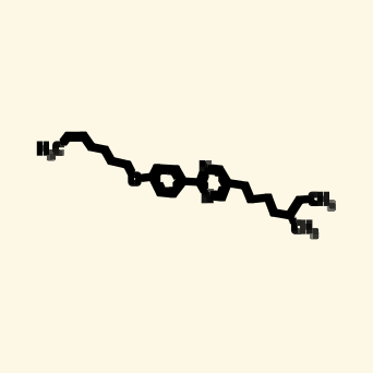 C/C=C\CCCCOc1ccc(-c2ncc(CCCC[C@@H](C)CC)cn2)cc1